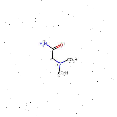 NC(=O)CN(C(=O)O)C(=O)O